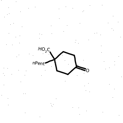 CCCCCC1(C(=O)O)CCC(=O)CC1